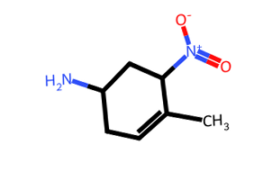 CC1=CCC(N)CC1[N+](=O)[O-]